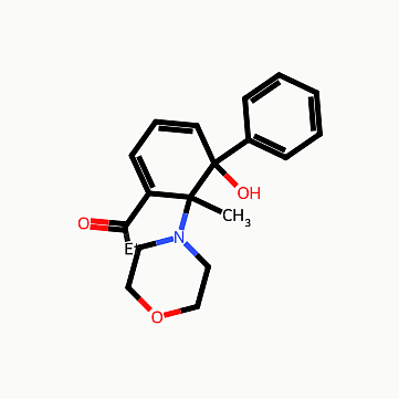 CCC(=O)C1=CC=CC(O)(c2ccccc2)C1(C)N1CCOCC1